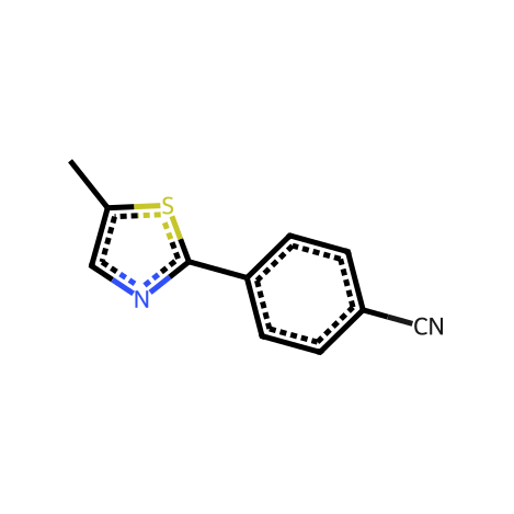 Cc1cnc(-c2ccc(C#N)cc2)s1